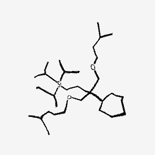 CC(C)CCOCC(CC[Si](C(C)C)(C(C)C)C(C)C)(COCCC(C)C)C1CCCCC1